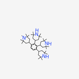 CN1C(C)(C)CC(c2ccc(C3CC(C)(C)NC(C)(C)C3)c(C3CC(C)(C)NC(C)(C)C3)c2C2CC(C)(C)NC(C)(C)C2)CC1(C)C